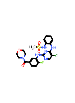 CS(=O)(=O)Nc1ccccc1Nc1nc(Nc2cc(C(=O)N3CCOCC3)ccc2F)ncc1Cl